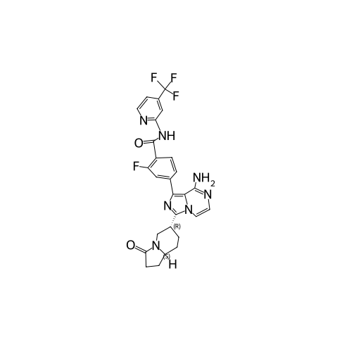 Nc1nccn2c([C@@H]3CC[C@H]4CCC(=O)N4C3)nc(-c3ccc(C(=O)Nc4cc(C(F)(F)F)ccn4)c(F)c3)c12